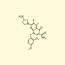 COc1ccc(Cn2cc(C(N)=O)c(=O)c3c(C)c(F)c(N4CCC(N)C4)nc32)c(OC)c1